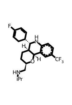 CC(C)NC[C@H]1CC[C@@H]2[C@H](O1)c1cc(C(F)(F)F)ccc1N[C@H]2C1C=CC(F)=CC1